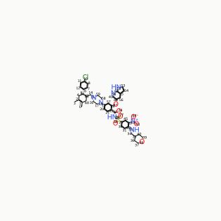 CC1=C(C)C[C@H](c2ccc(Cl)cc2)[C@@H](CN2CCN(c3ccc(C(=O)NS(=O)(=O)c4ccc(NCC5CCOCC5)c([N+](=O)[O-])c4)c(Oc4cnc5[nH]ccc5c4)c3)CC2)C1